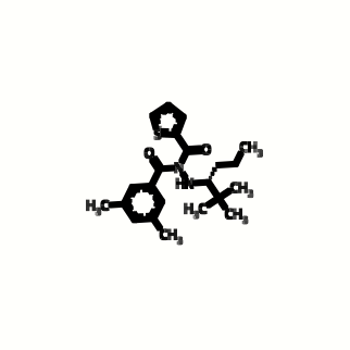 CCC[C@@H](NN(C(=O)c1cc(C)cc(C)c1)C(=O)c1cccs1)C(C)(C)C